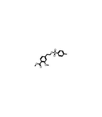 COC(=O)c1ccc(CCOS(=O)(=O)c2ccc(C)cc2)cc1OC